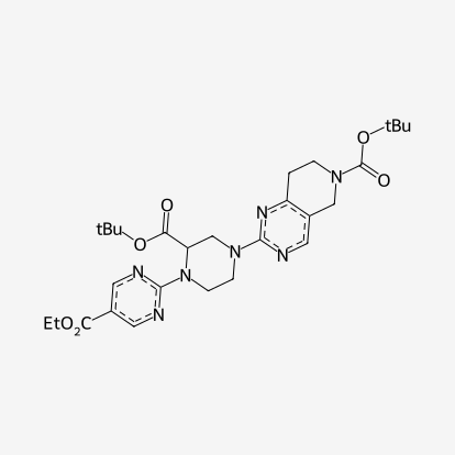 CCOC(=O)c1cnc(N2CCN(c3ncc4c(n3)CCN(C(=O)OC(C)(C)C)C4)CC2C(=O)OC(C)(C)C)nc1